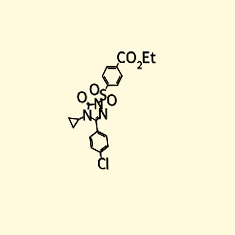 CCOC(=O)c1ccc(S(=O)(=O)n2nc(-c3ccc(Cl)cc3)n(C3CC3)c2=O)cc1